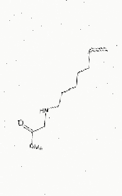 C=CCCCCCNCC(=O)OC